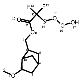 COC1CC2CC(COC(=O)C(F)(F)SOOO)C1C2